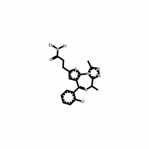 CCN(CC)C(=O)CCc1cc2c(s1)-n1c(C)nnc1C(C)N=C2c1ccccc1Cl